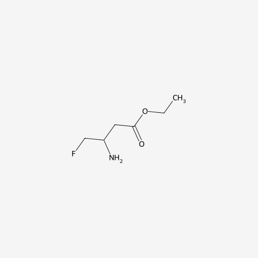 CCOC(=O)CC(N)CF